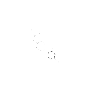 COC(CC1CCN(c2ncc(Br)cc2F)CC1)OC